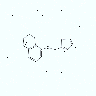 c1csc(COc2cccc3c2CCCC3)c1